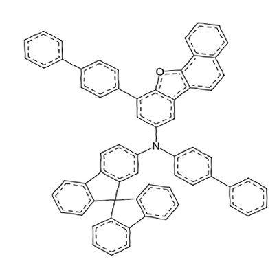 c1ccc(-c2ccc(-c3cc(N(c4ccc(-c5ccccc5)cc4)c4ccc5c(c4)C4(c6ccccc6-c6ccccc64)c4ccccc4-5)cc4c3oc3c5ccccc5ccc43)cc2)cc1